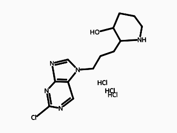 Cl.Cl.Cl.OC1CCCNC1CCCn1cnc2nc(Cl)ncc21